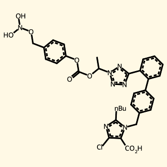 CCCCc1nc(Cl)c(C(=O)O)n1Cc1ccc(-c2ccccc2-c2nnn(C(C)OC(=O)Oc3ccc(CON(O)O)cc3)n2)cc1